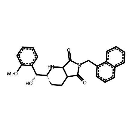 COc1ccccc1[C@@H](O)[C@H]1CCC2C(=O)N(Cc3cccc4ccccc34)C(=O)C2N1